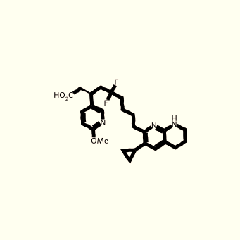 COc1ccc([C@@H](CC(=O)O)CC(F)(F)CCCCc2nc3c(cc2C2CC2)CCCN3)cn1